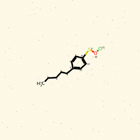 CCCCCc1ccc(SOCl)cc1